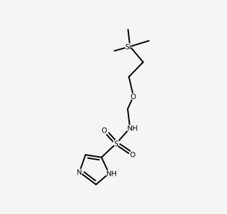 C[Si](C)(C)CCOCNS(=O)(=O)c1cnc[nH]1